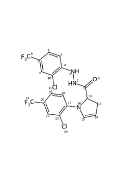 O=C(NNc1ccc(C(F)(F)F)cc1Cl)C1CC=CN1c1ccc(C(F)(F)F)cc1Cl